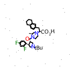 C[C@H]1CN([C@@H](Cc2ccc3c(c2)CCCC3)C(=O)O)CCN1C(=O)[C@@H]1CN(C(C)(C)C)C[C@H]1c1ccc(F)cc1F